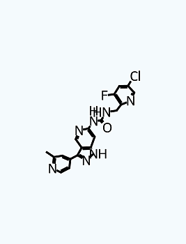 Cc1cc(-c2n[nH]c3cc(NC(=O)NCc4ncc(Cl)cc4F)ncc23)ccn1